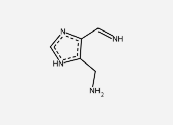 N=Cc1nc[nH]c1CN